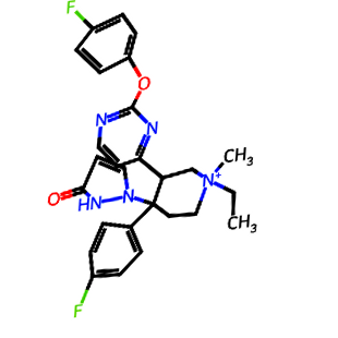 CC[N+]1(C)CCC(c2ccc(F)cc2)(n2ccc(=O)[nH]2)C(c2ccnc(Oc3ccc(F)cc3)n2)C1